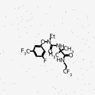 CCN(Oc1cc(F)cc(C(F)(F)F)c1)C(=O)NC(C)(C)C(=O)NCC(F)(F)F